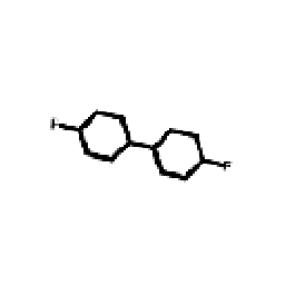 FC1CC[C](C2CCC(F)CC2)CC1